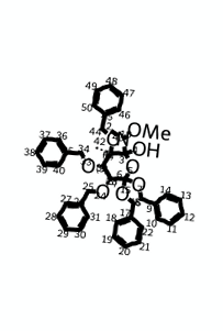 CON(C)C1(O)OC(OCc2ccccc2)(OCc2ccccc2)[C@@H](OCc2ccccc2)[C@H](OCc2ccccc2)[C@@]1(C)OCc1ccccc1